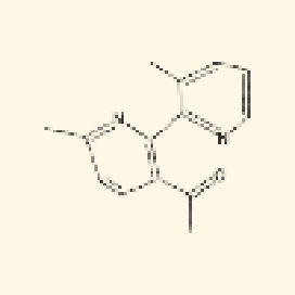 CC(=O)c1ccc(C)nc1-c1ncccc1C